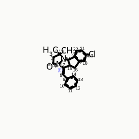 CC1(C)CC(=O)N2/C(=C/c3ccccc3)C3Cc4cc(Cl)ccc4C3N21